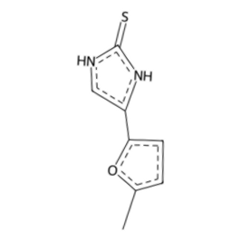 Cc1ccc(-c2c[nH]c(=S)[nH]2)o1